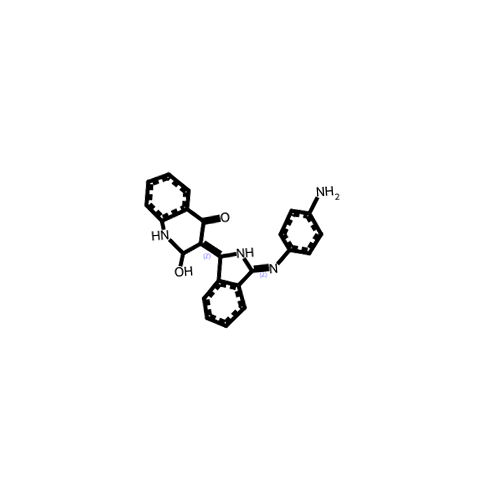 Nc1ccc(/N=C2\N/C(=C3\C(=O)c4ccccc4NC3O)c3ccccc32)cc1